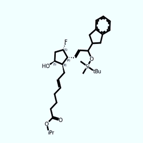 CC(C)OC(=O)CCCC=CC[C@@H]1[C@@H](C=CC(O[Si](C)(C)C(C)(C)C)C2Cc3ccccc3C2)[C@@H](F)C[C@@H]1O